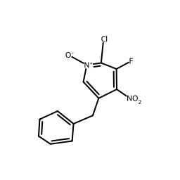 O=[N+]([O-])c1c(Cc2ccccc2)c[n+]([O-])c(Cl)c1F